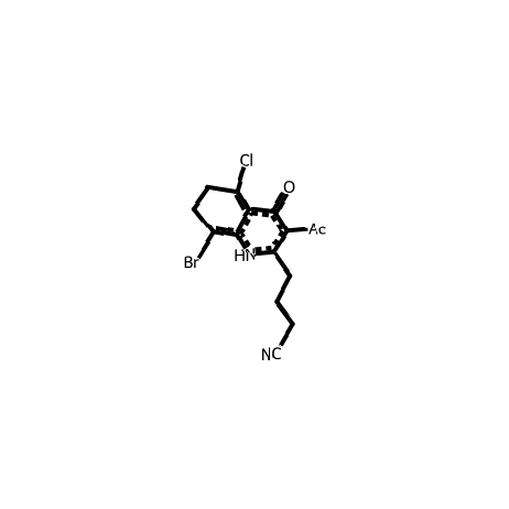 CC(=O)c1c(CCCC#N)[nH]c2c(c1=O)=C(Cl)CCC=2Br